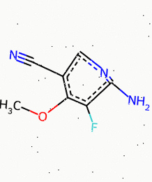 COc1c(C#N)cnc(N)c1F